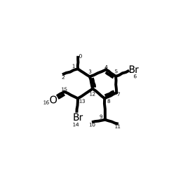 CC(C)c1cc(Br)cc(C(C)C)c1C(Br)C=O